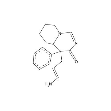 NC=CCC1(c2ccccc2)C(=O)N=CN2CCCCC21